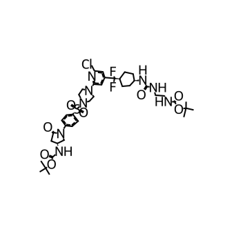 CC(C)(C)OC(=O)NCCNC(=O)N[C@H]1CC[C@@H](C(F)(F)c2cc(Cl)nc(N3CCN(S(=O)(=O)c4ccc(N5C[C@H](NC(=O)OC(C)(C)C)CC5=O)cc4)CC3)c2)CC1